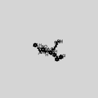 CN(C)CCC(CSc1ccccc1)Nc1ccc(S(=O)(=O)NC(=O)c2ccc(N3CCN(Cc4ccccc4-c4ccc(Cl)cc4)CC3)c(NC(=O)CCCCCC(=O)NO)c2)cc1[N+](=O)[O-]